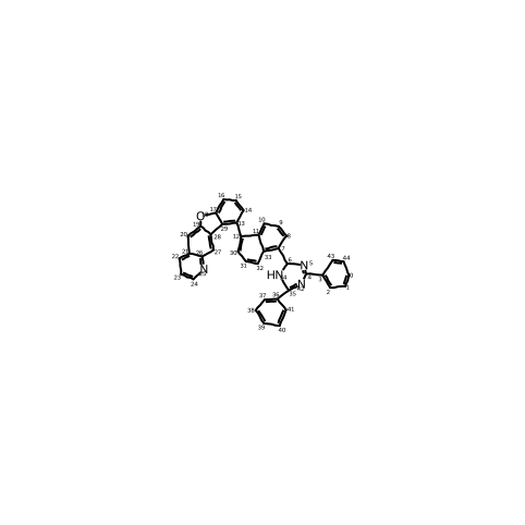 c1ccc(C2=NC(c3cccc4c(-c5cccc6oc7cc8cccnc8cc7c56)cccc34)NC(c3ccccc3)=N2)cc1